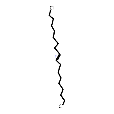 ClCCCCCCC/C=C/CCCCCCCCl